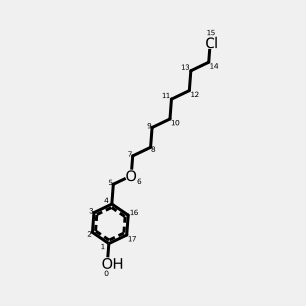 Oc1ccc(COCCCCCCCCCl)cc1